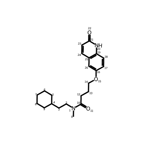 CN(CCC1CCCCC1)C(=O)CCCOc1ccc2[nH]c(=O)ccc2c1